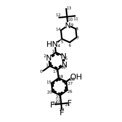 Cc1nc(N[C@@H]2CCCN(C(C)(C)C)C2)nnc1-c1ccc(C(F)(F)F)cc1O